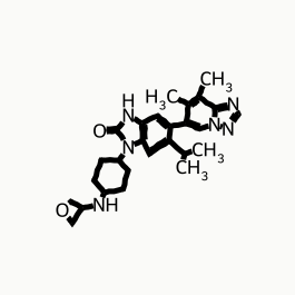 Cc1c(-c2cc3[nH]c(=O)n(C4CCC(NC5COC5)CC4)c3cc2C(C)C)cn2ncnc2c1C